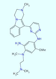 COc1cc(N(C)CCN(C)C)c(N)cc1Nc1nccc(-c2c3n(c4ccccc24)CCN(C)C3)n1